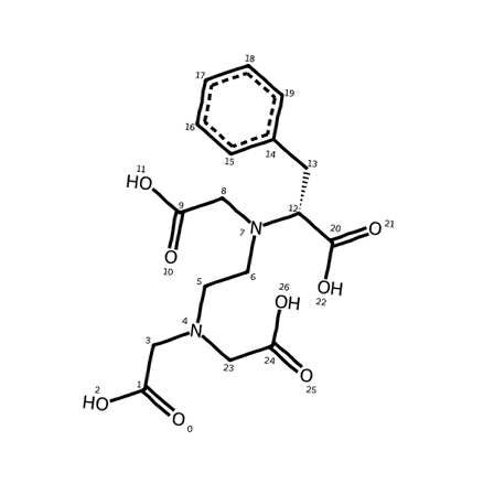 O=C(O)CN(CCN(CC(=O)O)[C@H](Cc1ccccc1)C(=O)O)CC(=O)O